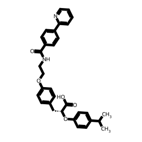 CC(C)c1ccc(O[C@H](Cc2ccc(OCCNC(=O)c3ccc(-c4ccccn4)cc3)cc2)C(=O)O)cc1